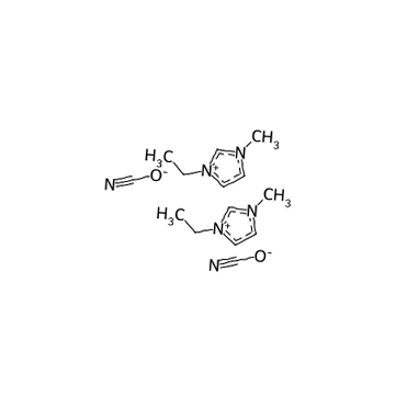 CC[n+]1ccn(C)c1.CC[n+]1ccn(C)c1.N#C[O-].N#C[O-]